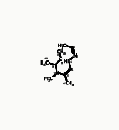 C/C=N\N/C=C(/C)N(C)C(C)OC